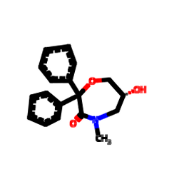 CN1C[C@@H](O)COC(c2ccccc2)(c2ccccc2)C1=O